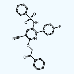 N#Cc1cc(NS(=O)(=O)c2ccccc2)c(-c2ccc(F)cc2)nc1OCC(=O)c1ccccc1